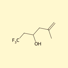 C=C(C)CC(O)CC(F)(F)F